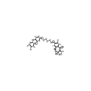 Cc1ccc(Oc2cc(OCCCCCOc3cc4c(cc3C)C(=O)N3CCC[C@H]3C=N4)ccc2I)cc1C